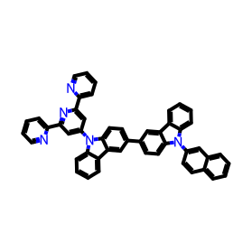 c1ccc(-c2cc(-n3c4ccccc4c4cc(-c5ccc6c(c5)c5ccccc5n6-c5ccc6ccccc6c5)ccc43)cc(-c3ccccn3)n2)nc1